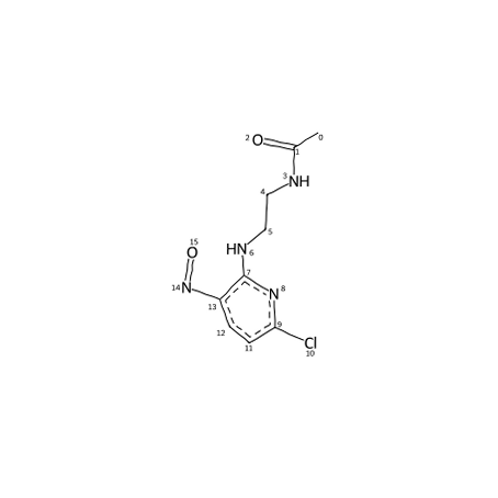 CC(=O)NCCNc1nc(Cl)ccc1N=O